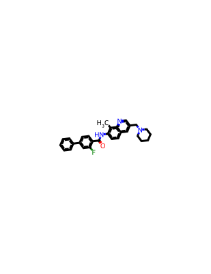 Cc1c(NC(=O)c2ccc(-c3ccccc3)cc2F)ccc2cc(CN3CCCCC3)cnc12